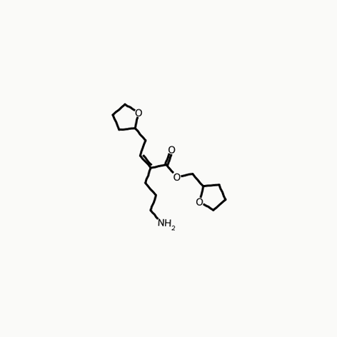 NCCCC(=CCC1CCCO1)C(=O)OCC1CCCO1